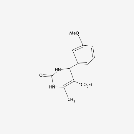 CCOC(=O)C1=C(C)NC(=O)NC1c1cccc(OC)c1